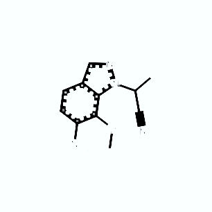 COc1c(N)ccc2cnn(C(C)C#N)c12